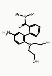 CC(C)N(C(=O)c1ccccc1-c1cc(N)ccc1N(CCO)CCO)C(C)C